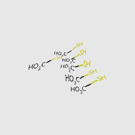 O=C(O)S.O=C(O)S.O=C(O)S.O=C(O)S.O=C(O)S.O=C(O)S